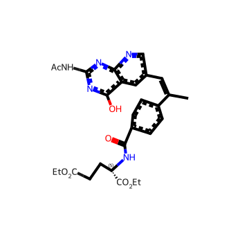 CCOC(=O)CC[C@H](NC(=O)c1ccc(C(C)=Cc2cnc3nc(NC(C)=O)nc(O)c3c2)cc1)C(=O)OCC